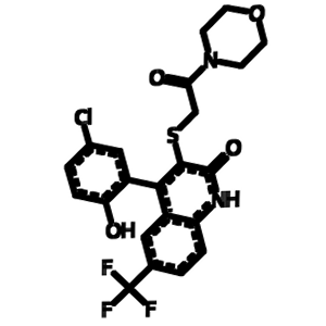 O=C(CSc1c(-c2cc(Cl)ccc2O)c2cc(C(F)(F)F)ccc2[nH]c1=O)N1CCOCC1